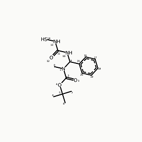 CN(C(=O)OC(C)(C)C)C(NC(=O)NS)c1ccccc1